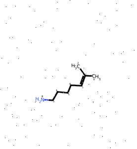 CC(C)=CCCCCN